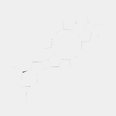 CCC(C)C(C)[C@H]1C(C)C2C3C4C(C)C(C)C(C)C(C)C(N)C5C(C(C)C(C)C(C)C4C(C)C3C2C1C(C)C1C(C)C1C)C(C)[C@@H]1C(C)C(C)C51